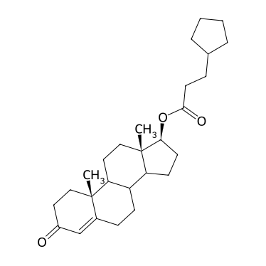 C[C@]12CCC(=O)C=C1CCC1C2CC[C@@]2(C)C1CC[C@@H]2OC(=O)CCC1CCCC1